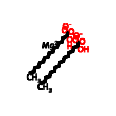 CCCCCCCCCCCCCCCCC(O)C(=O)O[O-].CCCCCCCCCCCCCCCCC(O)C(=O)O[O-].[Mg+2]